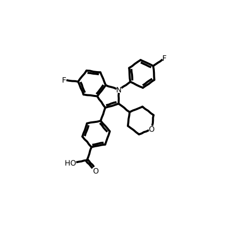 O=C(O)c1ccc(-c2c(C3CCOCC3)n(-c3ccc(F)cc3)c3ccc(F)cc23)cc1